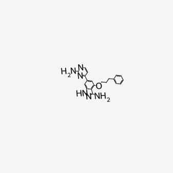 Nc1nccc(-c2cc(OCCCc3ccccc3)c3c(N)n[nH]c3c2)n1